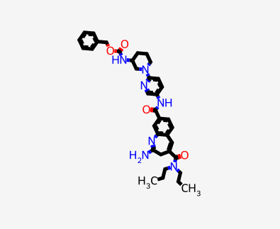 CCCN(CCC)C(=O)C1=Cc2ccc(C(=O)Nc3ccc(N4CCCC(NC(=O)OCc5ccccc5)C4)nc3)cc2N=C(N)C1